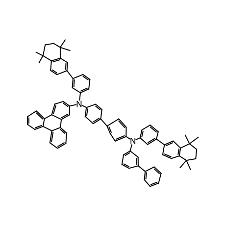 CC1(C)CCC(C)(C)c2cc(-c3cccc(N(c4ccc(-c5ccc(N(c6cccc(-c7ccc8c(c7)C(C)(C)CCC8(C)C)c6)c6ccc7c8ccccc8c8ccccc8c7c6)cc5)cc4)c4cccc(-c5ccccc5)c4)c3)ccc21